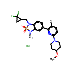 COC1CCN(c2ccc(C)c(-c3ccc4c(c3)N(C)S(=O)(=O)N4CC3CC3(F)F)n2)CC1.Cl